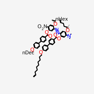 C=CCCCCCCCCOc1ccc(-c2ccc(C(=O)Oc3cc(N(C)C)c(O[C@@H](C)CCC=C)cc3/N=N/c3cc(OC(=O)c4ccc(-c5ccc(OCCCCCCCCCC)cc5)cc4)c([N+](=O)[O-])cc3O[C@@H](C)CCCCCC)cc2)cc1